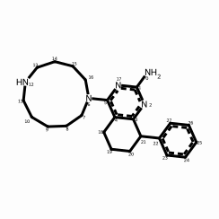 Nc1nc2c(c(N3CCCCCNCCCC3)n1)CCCC2c1ccccc1